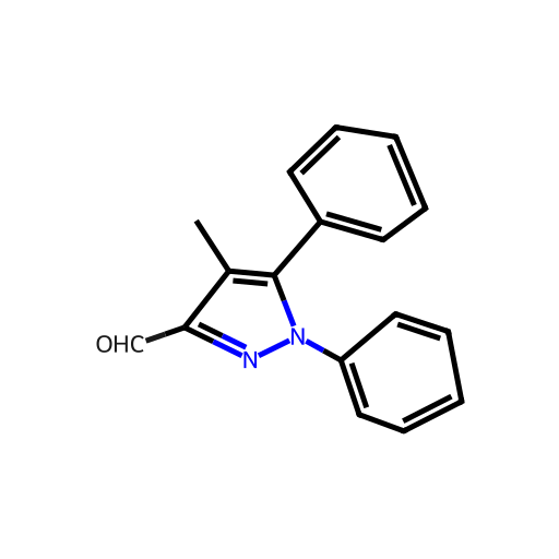 Cc1c(C=O)nn(-c2ccccc2)c1-c1ccccc1